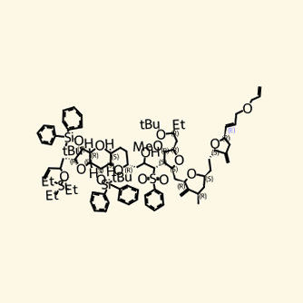 C=CCOC/C=C/[C@H]1CC(=C)[C@H](CC[C@H]2C[C@@H](C)C(=C)[C@@H](C[C@@H]3O[C@H](C[C@@H](CC)OC(C)(C)C)[C@H](OC)[C@H]3C(C(O)C[C@H]3CC[C@@H]4O[C@@H]5[C@@H](O[C@H](CC(C=C)O[Si](CC)(CC)CC)[C@@H]5O[Si](c5ccccc5)(c5ccccc5)C(C)(C)C)[C@@H](O[Si](c5ccccc5)(c5ccccc5)C(C)(C)C)[C@H]4O3)S(=O)(=O)c3ccccc3)O2)O1